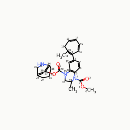 COC(=O)N1c2ccc(C3=C(C)CC=CC=C3)cc2N(C(=O)OC2=C3CCCC(=C2)CN3)CC1C